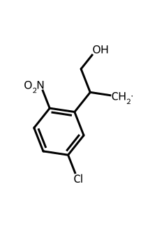 [CH2]C(CO)c1cc(Cl)ccc1[N+](=O)[O-]